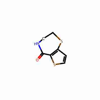 O=C1NCCSc2ccsc21